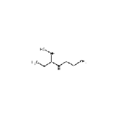 CCCNC(CC)NO